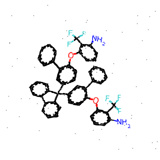 Nc1cccc(Oc2ccc(C3(c4ccc(Oc5cccc(N)c5C(F)(F)F)c(-c5ccccc5)c4)c4ccccc4-c4ccccc43)cc2-c2ccccc2)c1C(F)(F)F